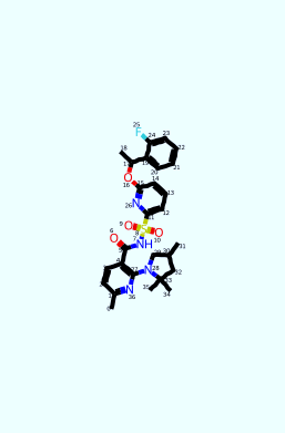 Cc1ccc(C(=O)NS(=O)(=O)c2cccc(OC(C)c3ccccc3F)n2)c(N2CC(C)CC2(C)C)n1